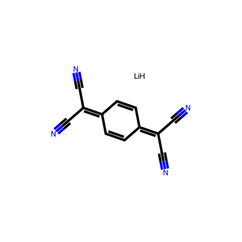 N#CC(C#N)=c1ccc(=C(C#N)C#N)cc1.[LiH]